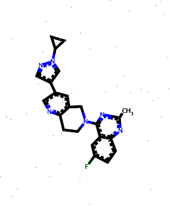 Cc1nc(N2CCc3ncc(-c4cnn(C5CC5)c4)cc3C2)c2cc(F)ccc2n1